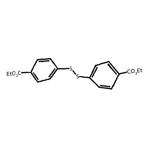 CCOC(=O)c1ccc(SSc2ccc(C(=O)OCC)cc2)cc1